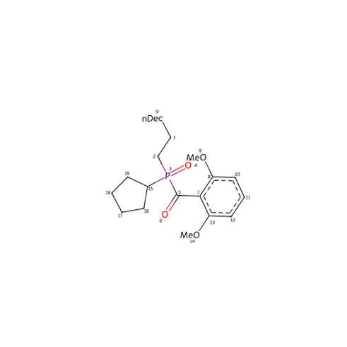 CCCCCCCCCCCCP(=O)(C(=O)c1c(OC)cccc1OC)C1CCCC1